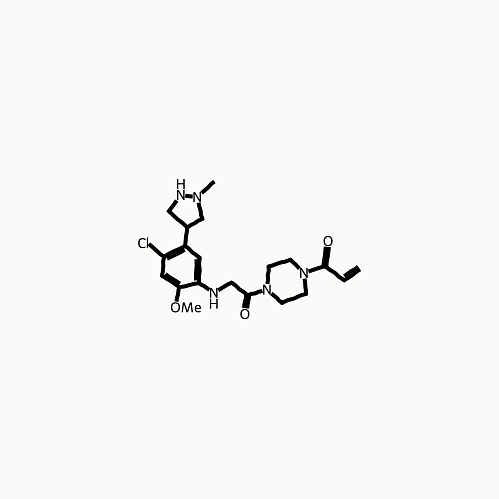 C=CC(=O)N1CCN(C(=O)CNc2cc(C3CNN(C)C3)c(Cl)cc2OC)CC1